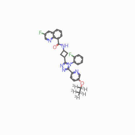 [2H]C([2H])([2H])C([2H])([2H])Oc1ccc(-c2nnc(C3CC(NC(=O)c4cccc5cc(F)cnc45)C3)n2-c2ccccc2F)nc1